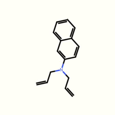 C=CCN(CC=C)c1ccc2c[c]ccc2c1